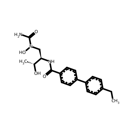 CCc1ccc(-c2ccc(C(=O)N[C@H](CN(O)C(N)=O)[C@@H](C)O)cc2)cc1